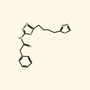 O=C(Cc1ccccc1)Nc1nnc(CCCCc2nn[c]s2)s1